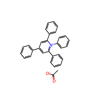 CC(=O)[O-].c1ccc(-c2cc(-c3ccccc3)[n+](-c3ccccc3)c(-c3ccccc3)c2)cc1